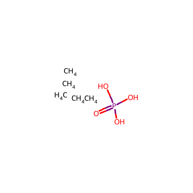 C.C.C.C.C.O=P(O)(O)O